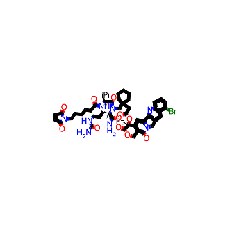 CC[C@@]1(OC(=O)CC2(CN(C(=O)[C@@H](NC(=O)CCCCCN3C(=O)C=CC3=O)C(C)C)[C@@H](CCCNC(N)=O)C(N)=O)CCCCC2)C(=O)OCc2c1cc1n(c2=O)Cc2cc3c(Br)cccc3nc2-1